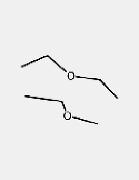 CCOC.CCOCC